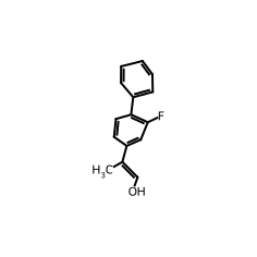 CC(=CO)c1ccc(-c2ccccc2)c(F)c1